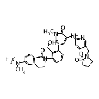 CN(C)c1ccc2c(c1)CCN(c1cccc(-c3cc(Nc4ccc(CN5CCCS5(=O)=O)cn4)c(=O)n(C)c3)c1CO)C2=O